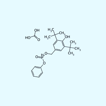 CC(C)(C)c1cc(CO[PH](=O)Oc2ccccc2)cc(C(C)(C)C)c1O.O=C(O)O